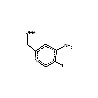 COCc1cc(N)c(I)cn1